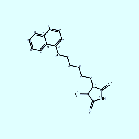 CC1C(=O)NC(=O)N1CCCCCOc1ccnc2ccccc12